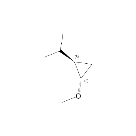 CO[C@H]1C[C@@H]1C(C)C